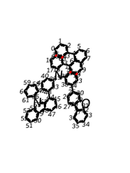 c1ccc(-c2cccc3cccc(-c4ccccc4N(c4cccc(-c5ccc6c(c5)oc5ccccc56)c4)c4cccc(-c5cccc6c7ccccc7n(-c7ccccc7)c56)c4)c23)cc1